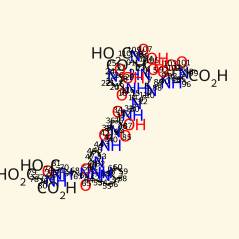 Cc1cc(C(=O)NCCN(CCCN(CCNC(=O)c2cc(C)n(CC(=O)O)c(=O)c2O)CCNC(=O)c2cc(C)n(CC(=O)NCc3ccc(C(=O)N[C@@H](Cc4ccc5ccccc5n4)C(=O)NCCCC[C@H](NC(=O)N[C@@H](CCC(=O)O)C(=O)O)C(=O)O)nc3)c(=O)c2O)CCNC(=O)c2cc(C)n(CC(=O)O)c(=O)c2O)c(O)c(=O)n1CC(=O)O